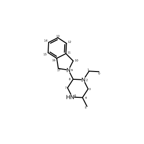 CCN1CC(C)NCC1N1Cc2ccccc2C1